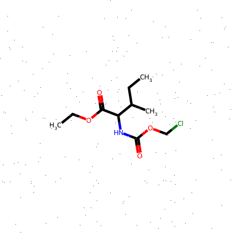 CCOC(=O)C(NC(=O)OCCl)C(C)CC